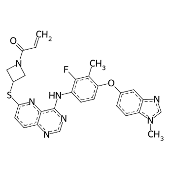 C=CC(=O)N1CC(Sc2ccc3ncnc(Nc4ccc(Oc5ccc6c(c5)ncn6C)c(C)c4F)c3n2)C1